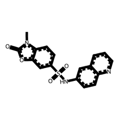 Cn1c(=O)oc2cc(S(=O)(=O)Nc3ccc4ncccc4c3)ccc21